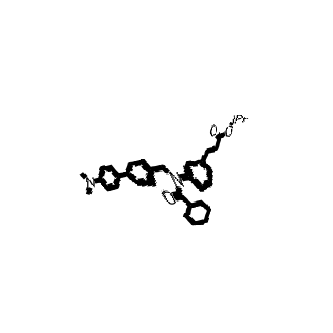 CC(C)OC(=O)/C=C/c1cccc(N(Cc2ccc(-c3ccc(N(C)C)cc3)cc2)C(=O)C2CCCCC2)c1